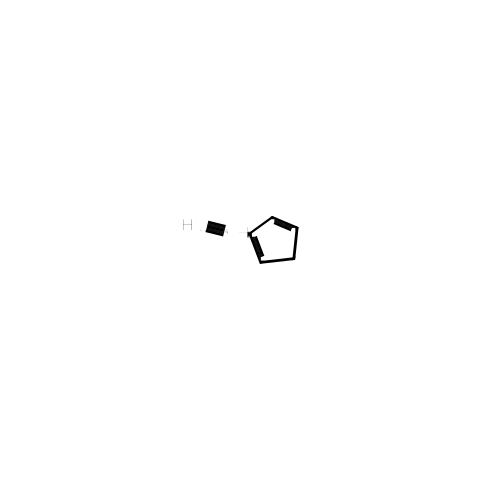 C#C.C1=CCC=C1